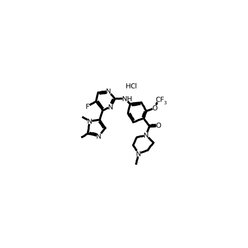 Cc1ncc(-c2nc(Nc3ccc(C(=O)N4CCN(C)CC4)c(OC(F)(F)F)c3)ncc2F)n1C.Cl